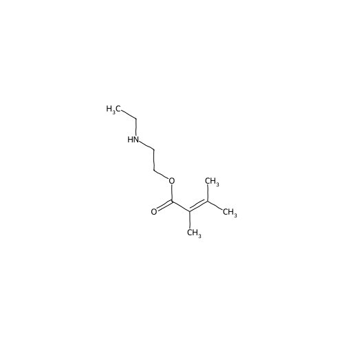 CCNCCOC(=O)C(C)=C(C)C